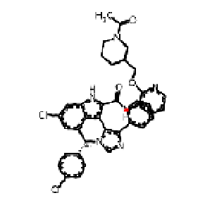 CC(=O)N1CCCC(COc2ncccc2NC(=O)c2[nH]c3cc(Cl)cc4c3c2-c2c(-c3ccccc3)ncn2[C@@H]4c2ccc(Cl)cc2)C1